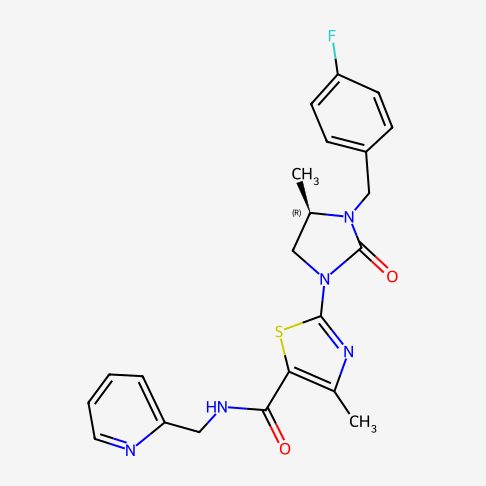 Cc1nc(N2C[C@@H](C)N(Cc3ccc(F)cc3)C2=O)sc1C(=O)NCc1ccccn1